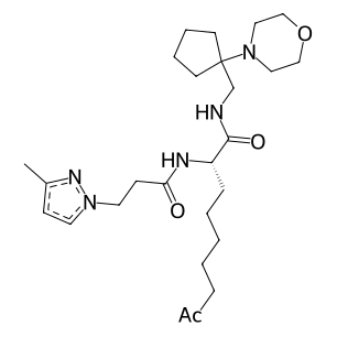 CC(=O)CCCCC[C@H](NC(=O)CCn1ccc(C)n1)C(=O)NCC1(N2CCOCC2)CCCC1